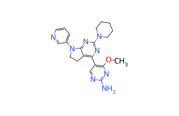 COc1nc(N)ncc1-c1nc(N2CCCCC2)nc2c1CCN2c1cccnc1